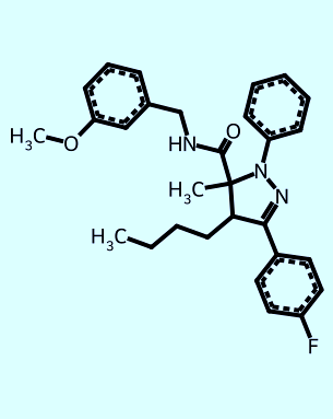 CCCCC1C(c2ccc(F)cc2)=NN(c2ccccc2)C1(C)C(=O)NCc1cccc(OC)c1